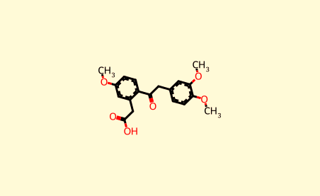 COc1ccc(C(=O)Cc2ccc(OC)c(OC)c2)c(CC(=O)O)c1